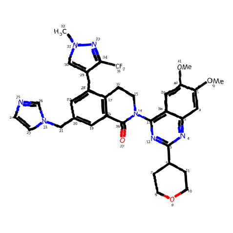 COc1cc2nc(C3CCOCC3)nc(N3CCc4c(cc(Cn5ccnc5)cc4-c4cn(C)nc4C(F)(F)F)C3=O)c2cc1OC